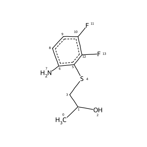 CC(O)CSc1c(N)ccc(F)c1F